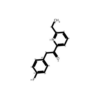 CCc1cccc(C(=O)Cc2ccc(F)cc2)n1